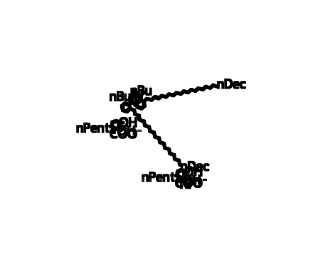 CCCCCCCCCCCCCCCCCCCCCCCCCCC=CCCc1ccccc1N=C(CCCC)C(CCCC)=Nc1ccccc1CCC=CCCCCCCCCCCCCCCCCCCCCCCCCCC.CCCCCc1ccc(O)c(O)c1C(=O)[O-].CCCCCc1ccc(O)c(O)c1C(=O)[O-].[Ni+2]